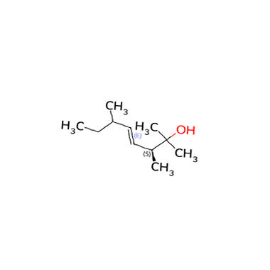 CCC(C)/C=C/[C@H](C)C(C)(C)O